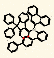 c1ccc(-c2ccc(-c3ccccc3N(c3cccc4c3-c3ccccc3C4(c3ccccc3)c3ccccc3)c3cc4ccccc4c4ccccc34)cc2)cc1